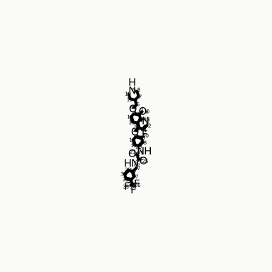 COc1c(OCC2CCNCC2)ccc2c(Oc3ccc(NC(=O)C(=O)NCc4cccc(C(F)(F)F)c4)cc3F)ccnc12